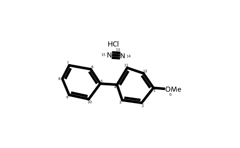 COc1ccc(-c2ccccc2)cc1.Cl.N#N